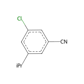 CC(C)c1cc(Cl)cc(C#N)c1